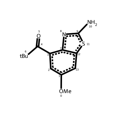 COc1cc(C(=O)C(C)(C)C)c2nc(N)sc2c1